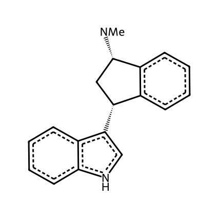 CN[C@H]1C[C@@H](c2c[nH]c3ccccc23)c2ccccc21